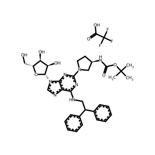 CC(C)(C)OC(=O)N[C@@H]1CCN(c2nc(NCC(c3ccccc3)c3ccccc3)c3ncn([C@@H]4O[C@H](CO)[C@@H](O)[C@H]4O)c3n2)C1.O=C(O)C(F)(F)F